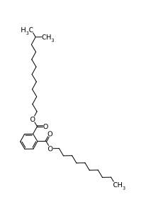 CCCCCCCCCCOC(=O)c1ccccc1C(=O)OCCCCCCCCCCC(C)C